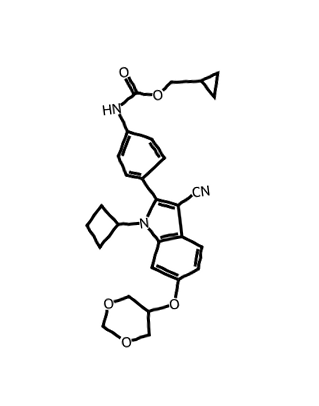 N#Cc1c(-c2ccc(NC(=O)OCC3CC3)cc2)n(C2CCC2)c2cc(OC3COCOC3)ccc12